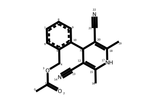 CC(=O)OCc1ccccc1C1C(C#N)=C(C)NC(C)=C1C#N